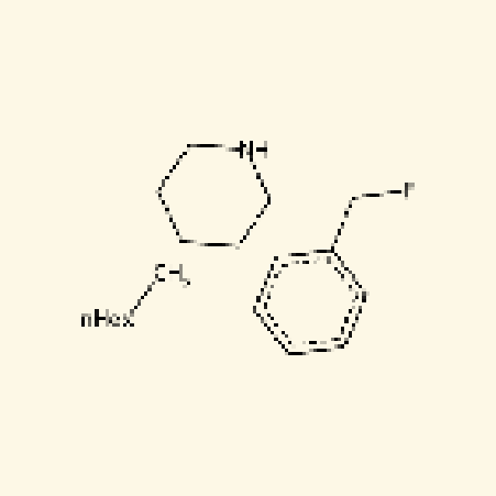 C1CCNCC1.CCCCCCC.FCc1ccccc1